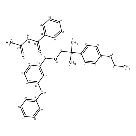 CCOc1ccc(C(C)(C)COCc2cccc(Oc3ccccc3)c2)cc1.NC(=O)NC(=O)c1ccccc1